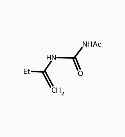 C=C(CC)NC(=O)NC(C)=O